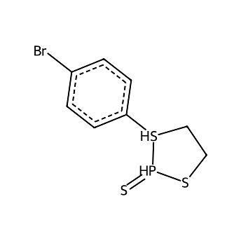 S=[PH]1SCC[SH]1c1ccc(Br)cc1